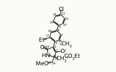 CCOC(=O)OC1=C(c2c(C)cc(-c3ccc(Cl)cc3)cc2CC)C(=O)NC1(C)COC